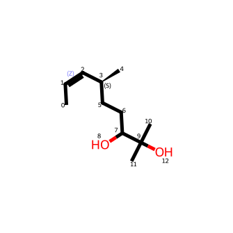 C/C=C\[C@@H](C)CCC(O)C(C)(C)O